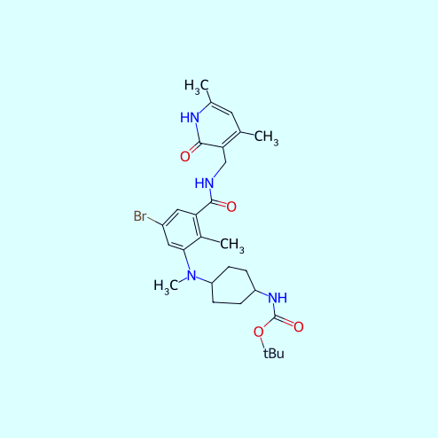 Cc1cc(C)c(CNC(=O)c2cc(Br)cc(N(C)C3CCC(NC(=O)OC(C)(C)C)CC3)c2C)c(=O)[nH]1